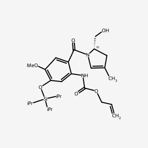 C=CCOC(=O)Nc1cc(O[Si](C(C)C)(C(C)C)C(C)C)c(OC)cc1C(=O)N1C=C(C)C[C@H]1CO